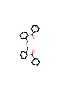 O=C(c1ccccc1)c1ccccc1COCc1ccccc1C(=O)c1ccccc1